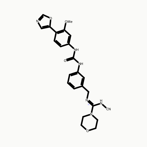 COc1cc(NC(=O)Nc2cccc(C/N=C(\NC#N)N3CCOCC3)c2)ccc1-c1cnco1